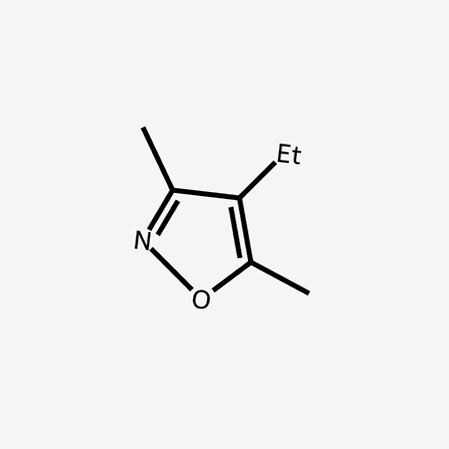 [CH2]Cc1c(C)noc1C